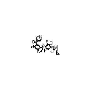 COc1cc2nccc(Oc3c(F)cc(NC(=O)NC4CC4)c(Cl)c3F)c2cc1C(=O)N1CCN(C)CC1